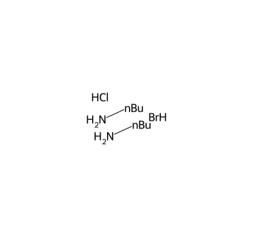 Br.CCCCN.CCCCN.Cl